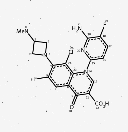 CNC1CN(c2c(F)cc3c(=O)c(C(=O)O)cn(-c4ccc(F)c(N)n4)c3c2Cl)C1